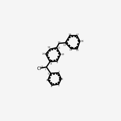 ClC(c1ccccc1)c1ccc(Cc2ccccc2)cc1